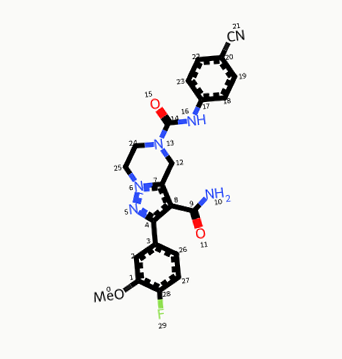 COc1cc(-c2nn3c(c2C(N)=O)CN(C(=O)Nc2ccc(C#N)cc2)CC3)ccc1F